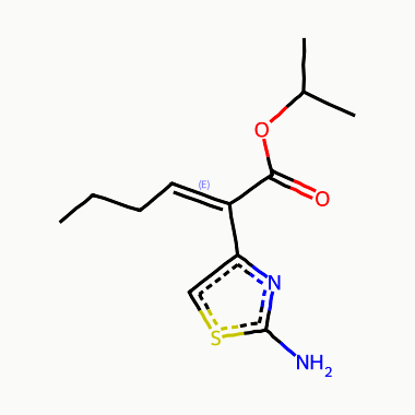 CCC/C=C(/C(=O)OC(C)C)c1csc(N)n1